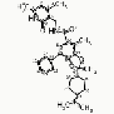 Cc1cc(C)c(CNC(=O)c2cc(-c3cccnc3)c3c(c2C)OC(C)([C@H]2CC[C@H](N(C)C)CC2)O3)c(=O)[nH]1